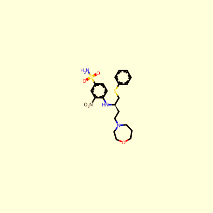 NS(=O)(=O)c1ccc(N[C@H](CCN2CCCOCC2)CSc2ccccc2)c([N+](=O)[O-])c1